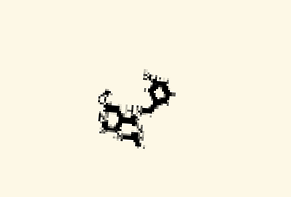 COc1cc2c(NCc3cccc(Br)c3)nc(C)nc2cn1